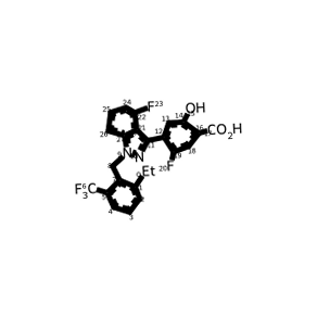 CCc1cccc(C(F)(F)F)c1Cn1nc(-c2cc(O)c(C(=O)O)cc2F)c2c(F)cccc21